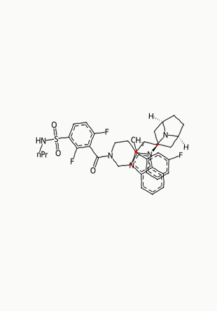 CCCNS(=O)(=O)c1ccc(F)c(C(=O)N2CCC(CCN3[C@@H]4CC[C@H]3C[C@@H](n3c(C)nc5ccccc53)C4)(c3cccc(F)c3)CC2)c1F